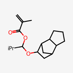 C=C(C)C(=O)OC(OC1CC2CC1C1CCCC21)C(C)C